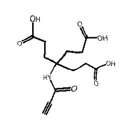 C#CC(=O)NC(CCC(=O)O)(CCC(=O)O)CCC(=O)O